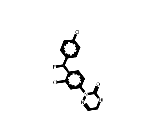 O=C1NCC=NN1c1ccc(C(F)c2ccc(Cl)cc2)c(Cl)c1